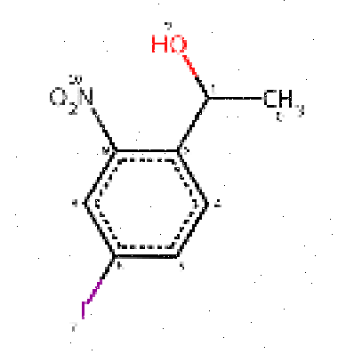 CC(O)c1ccc(I)cc1[N+](=O)[O-]